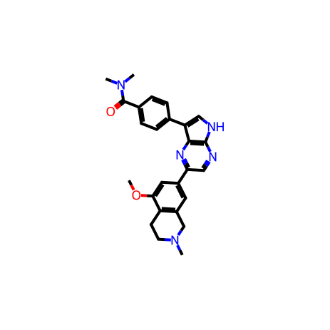 COc1cc(-c2cnc3[nH]cc(-c4ccc(C(=O)N(C)C)cc4)c3n2)cc2c1CCN(C)C2